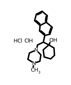 CN1CCN(CC(c2ccc3ccccc3c2)C2(O)CCCCC2)CC1.Cl.Cl